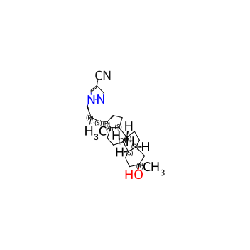 C[C@@]1(O)CC[C@H]2[C@H](CC[C@@H]3[C@@H]2CC[C@]2(C)[C@@H]([C@@H]4C[C@H]4Cn4cc(C#N)cn4)CC[C@@H]32)C1